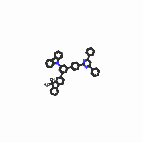 CC1(C)c2ccccc2-c2ccc(-c3cc(-c4ccc(-c5nc(-c6ccccc6)cc(-c6ccccc6)n5)cc4)cc(-n4c5ccccc5c5ccccc54)c3)cc21